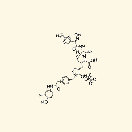 CS(=O)(=O)[O-].Nc1nc(C(=NO)C(=O)N[C@@H]2C(=O)N3C(C(=O)O)=C(C=C4CCN(Cc5cc[n+](CC(=O)Nc6ccc(O)c(F)c6)cc5)C4=O)CS[C@H]23)cs1